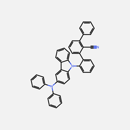 N#Cc1c(-c2ccccc2)cccc1-c1ccccc1-n1c2ccccc2c2cc(N(c3ccccc3)c3ccccc3)ccc21